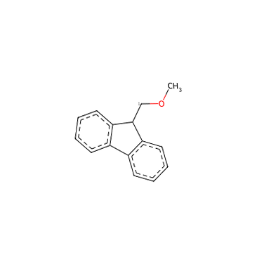 CO[C]C1c2ccccc2-c2ccccc21